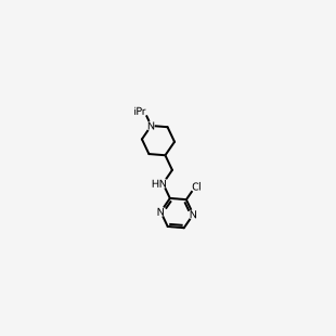 CC(C)N1CCC(CNc2nccnc2Cl)CC1